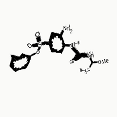 COC(C)NC(=O)Nc1ccc(S(=O)(=O)Oc2ccccc2)cc1N